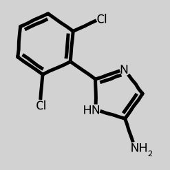 Nc1cnc(-c2c(Cl)cccc2Cl)[nH]1